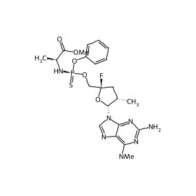 CNc1nc(N)nc2c1ncn2[C@@H]1O[C@](F)(CO[P@@](=S)(N[C@@H](C)C(=O)OC)Oc2ccccc2)C[C@@H]1C